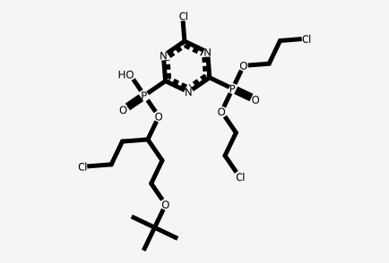 CC(C)(C)OCCC(CCCl)OP(=O)(O)c1nc(Cl)nc(P(=O)(OCCCl)OCCCl)n1